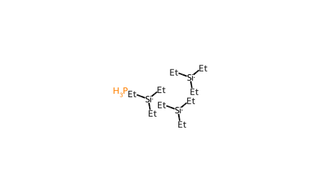 CC[Si](CC)CC.CC[Si](CC)CC.CC[Si](CC)CC.P